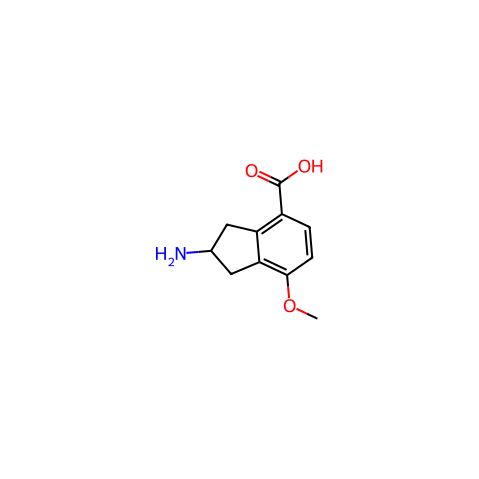 COc1ccc(C(=O)O)c2c1CC(N)C2